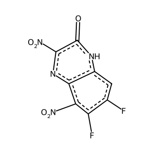 O=c1[nH]c2cc(F)c(F)c([N+](=O)[O-])c2nc1[N+](=O)[O-]